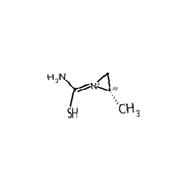 C[C@H]1C[N+]1=C(N)S